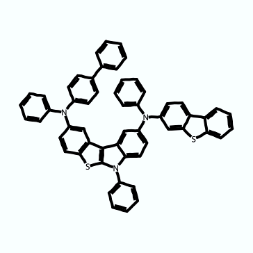 c1ccc(-c2ccc(N(c3ccccc3)c3ccc4sc5c(c4c3)c3cc(N(c4ccccc4)c4ccc6c(c4)sc4ccccc46)ccc3n5-c3ccccc3)cc2)cc1